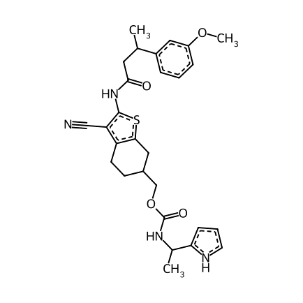 COc1cccc(C(C)CC(=O)Nc2sc3c(c2C#N)CCC(COC(=O)NC(C)c2ccc[nH]2)C3)c1